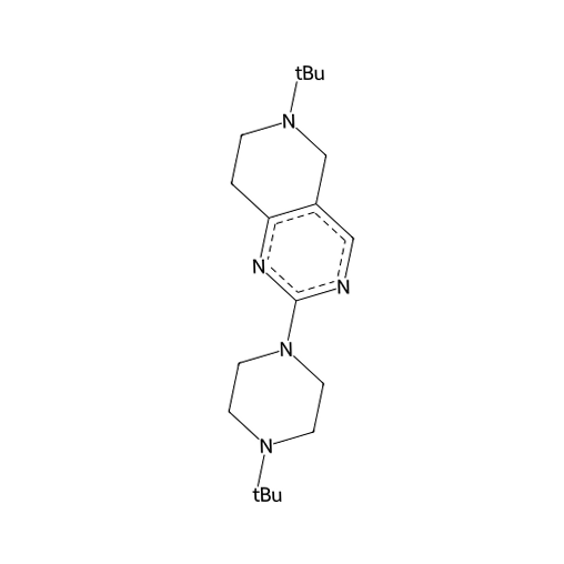 CC(C)(C)N1CCN(c2ncc3c(n2)CCN(C(C)(C)C)C3)CC1